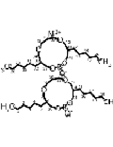 CCCCCCC1COCCCOCC(CCCCCC)COP([O-])OC1.CCCCCCC1COCCCOCC(CCCCCC)COP([O-])OC1.[Ni+2]